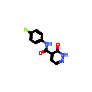 O=C(Nc1ccc(F)cc1)c1ccn[nH]c1=O